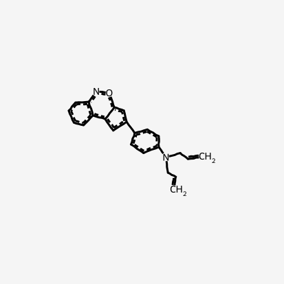 C=CCN(CC=C)c1ccc(-c2cc3onc4ccccc4c-3c2)cc1